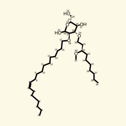 CCCCCC/C=C\CCCCCCCCCCO[C@H]1C(O)O[C@H](CO)[C@@H](O)[C@@H]1OCC[C@@H](CCCCCCC)OC